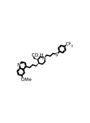 COc1ccc2nccc(CCC[C@@H]3CCN(CCCSc4ccc(C(F)(F)F)cc4)C[C@@H]3CC(=O)O)c2c1